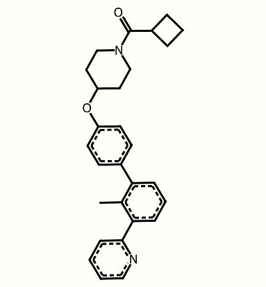 Cc1c(-c2ccc(OC3CCN(C(=O)C4CCC4)CC3)cc2)cccc1-c1ccccn1